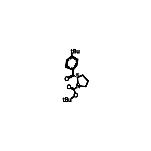 CC(C)(C)OC(=O)N1CCC[C@H]1C(=O)c1ccc(C(C)(C)C)cc1